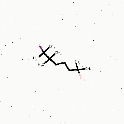 BC(C)(C)CCCC(C)(C)C(C)(C)I